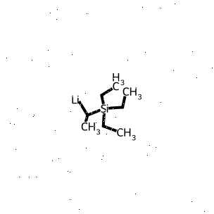 [Li][CH](C)[Si](CC)(CC)CC